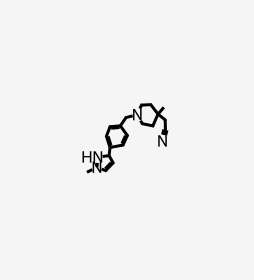 CN1C=CC(c2ccc(CN3CCC(C)(CC#N)CC3)cc2)N1